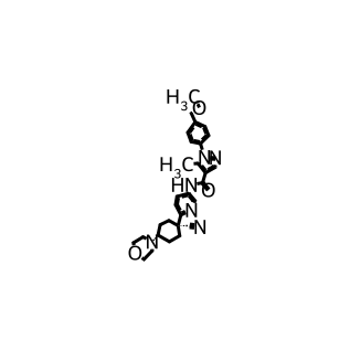 COCc1ccc(-n2ncc(C(=O)Nc3ccc([C@]4(C#N)CC[C@@H](N5CCOCC5)CC4)nc3)c2C)cc1